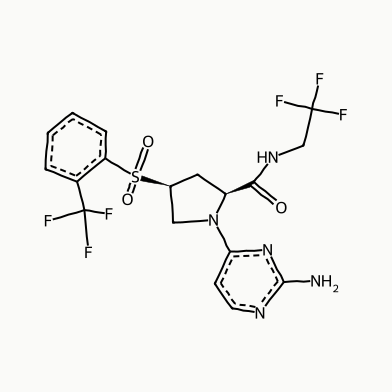 Nc1nccc(N2C[C@@H](S(=O)(=O)c3ccccc3C(F)(F)F)C[C@H]2C(=O)NCC(F)(F)F)n1